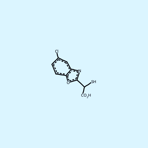 O=C(O)C(S)c1nc2cc(Cl)ccc2o1